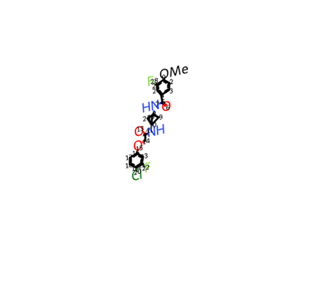 COc1ccc(C(=O)NC23CC(NC(=O)COc4ccc(Cl)c(F)c4)(C2)C3)cc1F